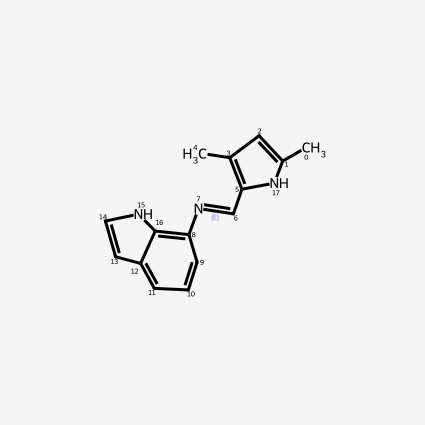 Cc1cc(C)c(/C=N/c2cccc3cc[nH]c23)[nH]1